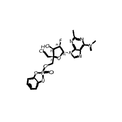 Cc1nc(N(C)C)c2ncn([C@@H]3O[C@](CCl)(COP4(=O)Oc5ccccc5O4)[C@@H](O)[C@H]3F)c2n1